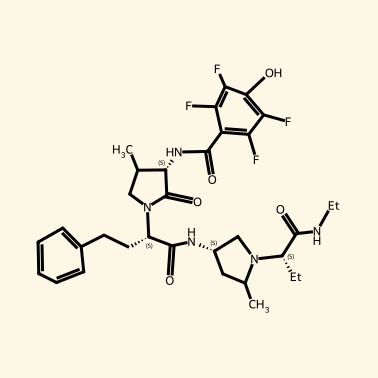 CCNC(=O)[C@H](CC)N1C[C@@H](NC(=O)[C@H](CCc2ccccc2)N2CC(C)[C@H](NC(=O)c3c(F)c(F)c(O)c(F)c3F)C2=O)CC1C